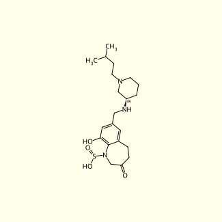 CC(C)CCN1CCC[C@@H](NCc2cc(O)c3c(c2)CCC(=O)CN3S(=O)O)C1